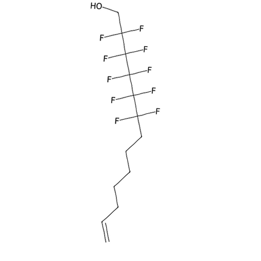 C=CCCCCCC(F)(F)C(F)(F)C(F)(F)C(F)(F)C(F)(F)CO